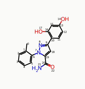 Cc1ccccc1-n1nc(-c2ccc(O)cc2O)cc1C(N)=O